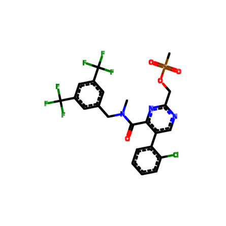 CN(Cc1cc(C(F)(F)F)cc(C(F)(F)F)c1)C(=O)c1nc(COS(C)(=O)=O)ncc1-c1ccccc1Cl